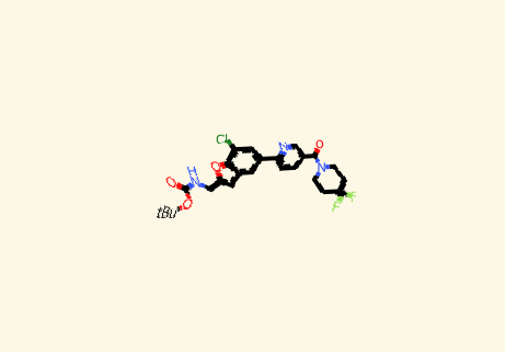 CC(C)(C)OC(=O)NCc1cc2cc(-c3ccc(C(=O)N4CCC(F)(F)CC4)cn3)cc(Cl)c2o1